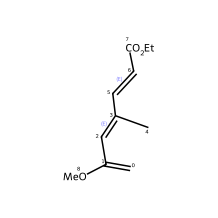 C=C(/C=C(C)/C=C/C(=O)OCC)OC